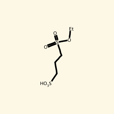 CCOS(=O)(=O)CCCS(=O)(=O)O